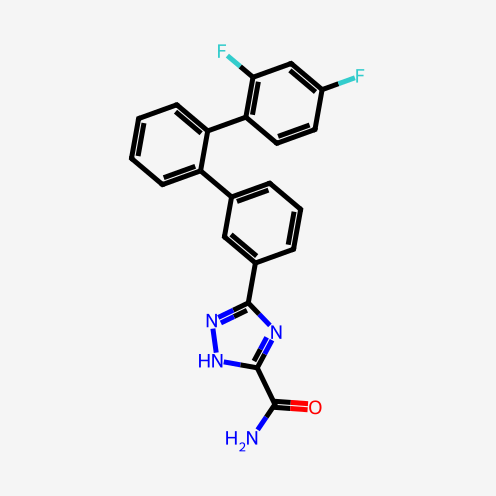 NC(=O)c1nc(-c2cccc(-c3ccccc3-c3ccc(F)cc3F)c2)n[nH]1